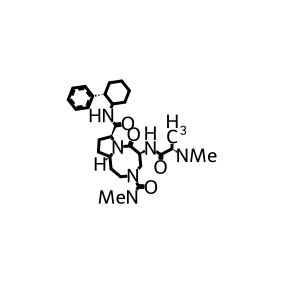 CNC(=O)N1CC[C@H]2CC[C@@H](C(=O)NC3CCCC[C@H]3c3ccccc3)N2C(=O)[C@@H](NC(=O)[C@H](C)NC)C1